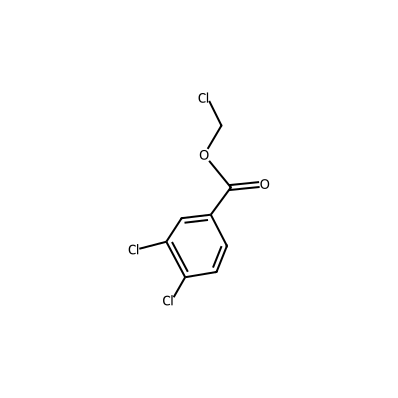 O=C(OCCl)c1ccc(Cl)c(Cl)c1